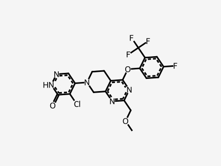 COCc1nc2c(c(Oc3ccc(F)cc3C(F)(F)F)n1)CCN(c1cn[nH]c(=O)c1Cl)C2